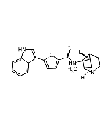 C[C@H]1[C@H](NC(=O)c2ccc(-c3c[nH]c4ccccc34)o2)C2CCN1CC2